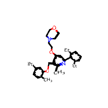 CCc1cccc(CC)c1-c1cc(OCCN2CCOCC2)c(COc2cc(C(C)C)ccc2C)c(C)n1